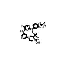 CN(C)c1nc2ccc(Nc3ncc(F)c(Nc4cncc(N5CCN(C(=O)O)C(C(C)(C)C)C5)c4)n3)cc2[nH]1